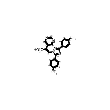 O=C(O)/C(=C/n1nc(-c2ccc(C(F)(F)F)cc2)nc1-c1ccc(C(F)(F)F)cc1)c1cncnc1